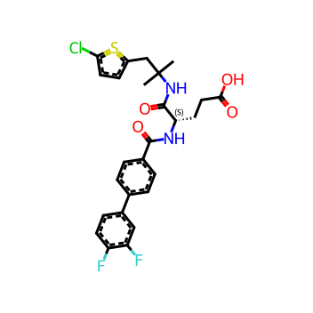 CC(C)(Cc1ccc(Cl)s1)NC(=O)[C@H](CCC(=O)O)NC(=O)c1ccc(-c2ccc(F)c(F)c2)cc1